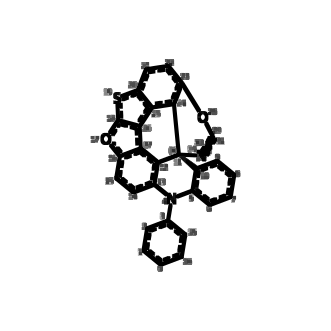 c1ccc(N2c3ccccc3[C@@]34c5c2ccc2oc6sc7ccc(c3c7c6c52)Oc2cccc[n+]24)cc1